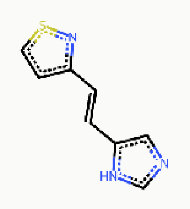 C(=Cc1cnc[nH]1)c1ccsn1